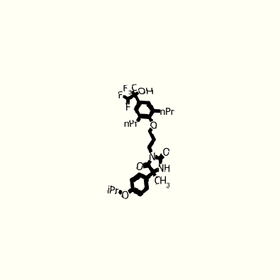 CCCc1cc(C(O)(C(F)F)C(F)(F)F)cc(CCC)c1OCCCN1C(=O)NC(C)(c2ccc(OC(C)C)cc2)C1=O